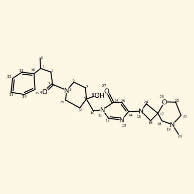 CC(CC(=O)N1CCC(O)(Cn2cnc(N3CC4(CN(C)CCO4)C3)cc2=O)CC1)c1ccccc1